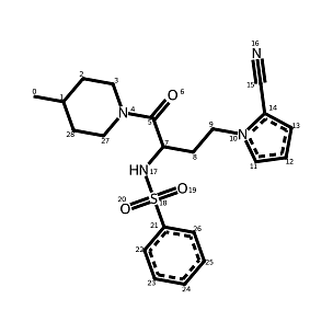 CC1CCN(C(=O)C(CCn2cccc2C#N)NS(=O)(=O)c2ccccc2)CC1